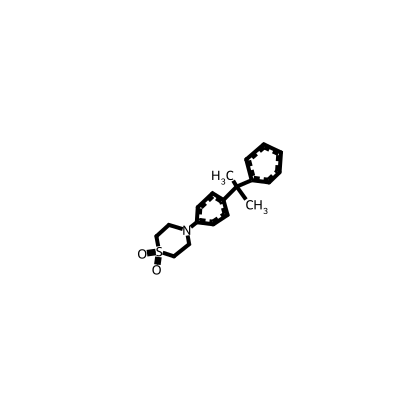 CC(C)(c1ccccc1)c1ccc(N2CCS(=O)(=O)CC2)cc1